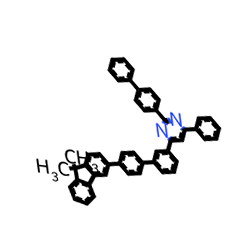 CC1(C)c2ccccc2-c2cc(-c3ccc(-c4cccc(-c5cc(-c6ccccc6)nc(-c6ccc(-c7ccccc7)cc6)n5)c4)cc3)ccc21